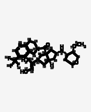 CO[C@@H]1COCC[C@@H]1N[C@@H]1C[C@H]2CN(/C(N)=N/O)C[C@@]2(C(=O)N2CCc3ncc(C(F)(F)F)cc3C2)C1